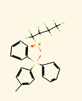 Cc1ccc(S(OS(=O)(=O)C(F)(F)C(F)(F)C(F)(F)C(F)(F)F)(c2ccccc2)c2ccccc2)cc1